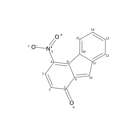 O=C1C=CC([N+](=O)[O-])=C2C1=Cc1ccccc12